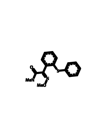 CNC(=O)C(=NOC)c1ccccc1Sc1ccccc1